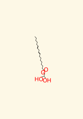 CCCCCC=CCC=CCCCCCCCC(=O)OCC(CO)CO